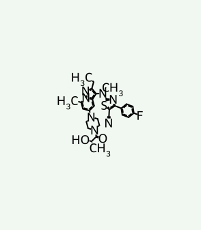 CCc1nn2c(C)cc(N3CCN(C(=O)[C@H](C)O)CC3)cc2c1N(C)c1nc(-c2ccc(F)cc2)c(C#N)s1